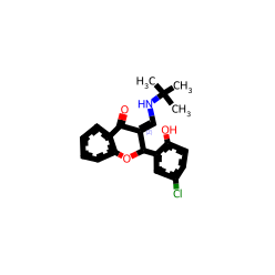 CC(C)(C)N/C=C1\C(=O)c2ccccc2OC1c1cc(Cl)ccc1O